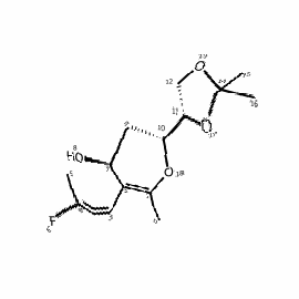 CC1=C(/C=C(\C)F)[C@@H](O)C[C@H]([C@@H]2COC(C)(C)O2)O1